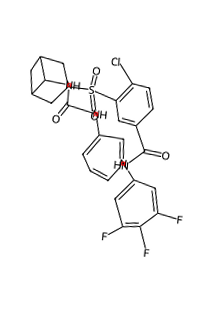 O=C(Nc1cccnc1)NC1C2CC1CC(S(=O)(=O)c1cc(C(=O)Nc3cc(F)c(F)c(F)c3)ccc1Cl)C2